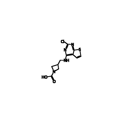 O=C(O)N1CC(CNc2nc(Cl)nc3sccc23)C1